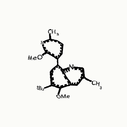 COc1nc(C)ccc1-c1cc(C(C)(C)C)c(OC)c2cc(C)cnc12